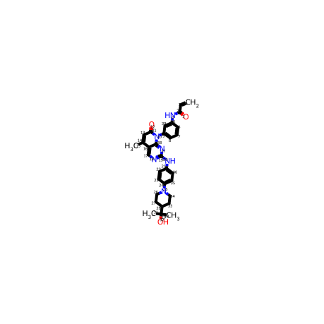 C=CC(=O)Nc1cccc(-n2c(=O)cc(C)c3cnc(Nc4ccc(N5CCC(C(C)(C)O)CC5)cc4)nc32)c1